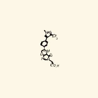 Cn1cc(-c2ccc([C@@H]3COc4ncn(CC(=O)O)c(=O)c4N3)cc2)c(C(F)(F)F)n1